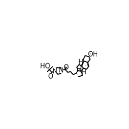 C[C@H](CCC(=O)N1CCN(C(=O)C(C)(C)O)CC1)[C@H]1CC[C@H]2[C@@H]3CC=C4C[C@@H](O)CC[C@]4(C)[C@H]3CC[C@]12C